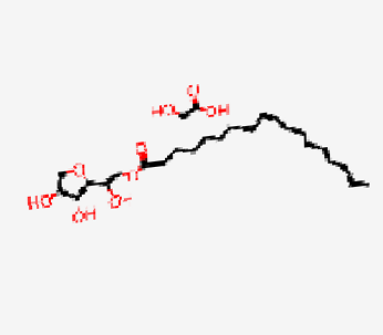 CCCCCCCC/C=C\CCCCCCCC(=O)OC[C@@H](O)[C@H]1OC[C@H](O)[C@H]1O.O=C(O)CO